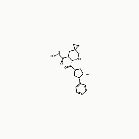 C[C@H]1CN(C(=O)[C@H]2NCC3(CC3)C[C@@H]2C(=O)NO)C[C@@H]1c1ccccc1